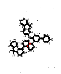 CC1(C)c2ccccc2-c2ccc(N(c3ccc(-c4cccc5c4-c4ccccc4C5(C)C)cc3)c3ccc(-c4ccccc4)cc3-c3ccccc3)cc21